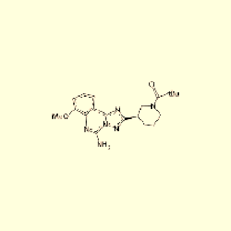 COc1cccc2c1nc(N)n1nc([C@@H]3CCCN(C(=O)C(C)(C)C)C3)nc21